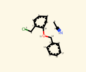 CC#N.ClCc1ccccc1OCc1ccccc1